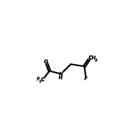 C=C(F)CNC(=O)C(F)(F)F